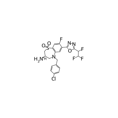 N[C@@H]1CN(Cc2ccc(Cl)cc2)c2cc(-c3nnc(C(F)C(F)F)o3)c(F)cc2S(=O)(=O)C1